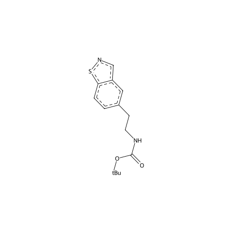 CC(C)(C)OC(=O)NCCc1ccc2sncc2c1